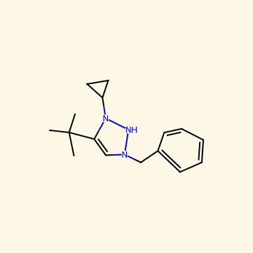 CC(C)(C)C1=CN(Cc2ccccc2)NN1C1CC1